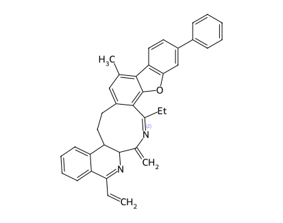 C=CC1=NC2C(=C)/N=C(/CC)c3c(cc(C)c4c3oc3cc(-c5ccccc5)ccc34)CCC2c2ccccc21